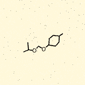 CC1CCC(OCOC(C)C)CC1